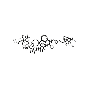 Cn1c(=O)n(COCC[Si](C)(C)C)c2cccc(C3(O)CCN(C(=O)OC(C)(C)C)C(C)(C)C3)c21